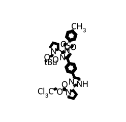 Cc1ccc(S(=O)(=O)n2cc(-c3ccc(C4CNC([C@@H]5CCCN5C(=O)OCC(Cl)(Cl)Cl)=N4)cc3)nc2[C@@H]2CCCN2C(=O)OC(C)(C)C)cc1